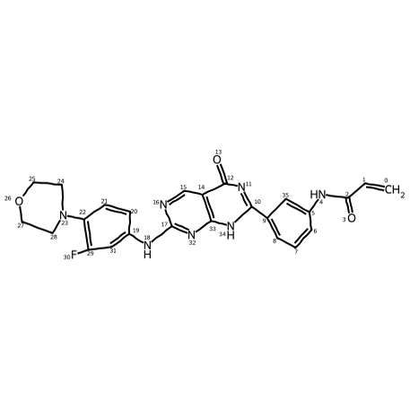 C=CC(=O)Nc1cccc(-c2nc(=O)c3cnc(Nc4ccc(N5CCOCC5)c(F)c4)nc3[nH]2)c1